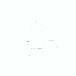 CCc1cn2c3cc[nH]c(=O)c3c3cc(F)ccc3c2n1